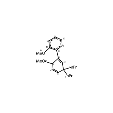 CCCC1(CCC)C=CC(OC)C(c2ccccc2OC)=C1